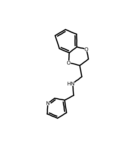 c1cncc(CNCC2COc3ccccc3O2)c1